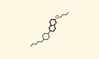 CCCCCC1CCC(c2ccc3cc(OCCCC)ccc3c2)CC1